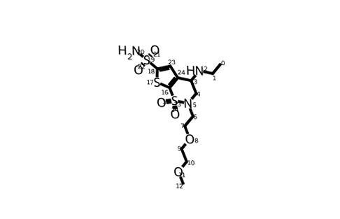 CCNC1CN(CCOCCOC)S(=O)(=O)c2sc(S(N)(=O)=O)cc21